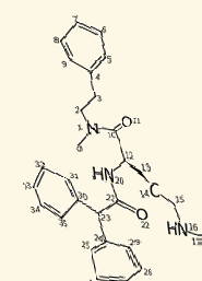 CN(CCc1ccccc1)C(=O)[C@@H](CCCNC(=N)N)NC(=O)C(c1ccccc1)c1ccccc1